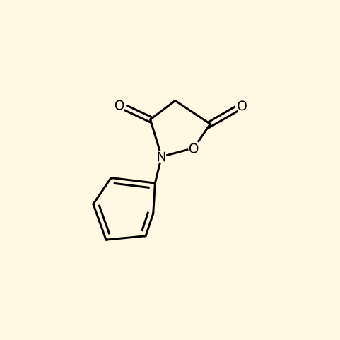 O=C1CC(=O)N(c2ccccc2)O1